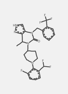 CC1c2n[nH]cc2N(Cc2ccccc2C(F)(F)F)C(=O)N1C1CCN(c2c(F)cccc2C(F)F)CC1